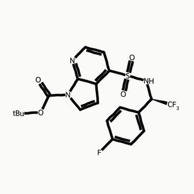 CC(C)(C)OC(=O)n1ccc2c(S(=O)(=O)N[C@H](c3ccc(F)cc3)C(F)(F)F)ccnc21